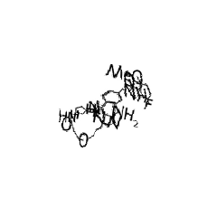 COc1ccc(F)cc1C(=O)NCc1ccc(-c2nc3n4c(cnc(N)c24)/C=C/CCOCCC(=O)N[C@@H]2CC[C@@H]3C2)cc1